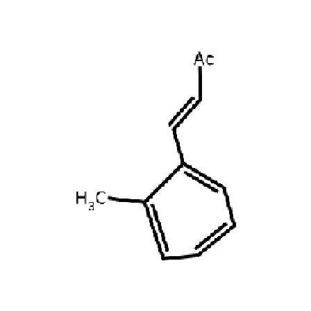 CC(=O)C=Cc1ccccc1C